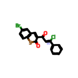 O=C(/C=C(\Cl)c1ccccc1)c1cc2cc(Br)ccc2sc1=O